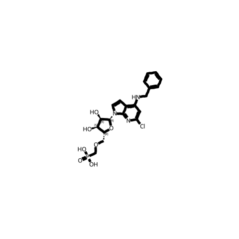 O=P(O)(O)COC[C@H]1O[C@@H](n2ccc3c(NCc4ccccc4)cc(Cl)nc32)[C@H](O)[C@@H]1O